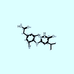 CC(C)c1cc(Oc2c(Br)cc(CC(=O)O)cc2Br)n[nH]c1=O